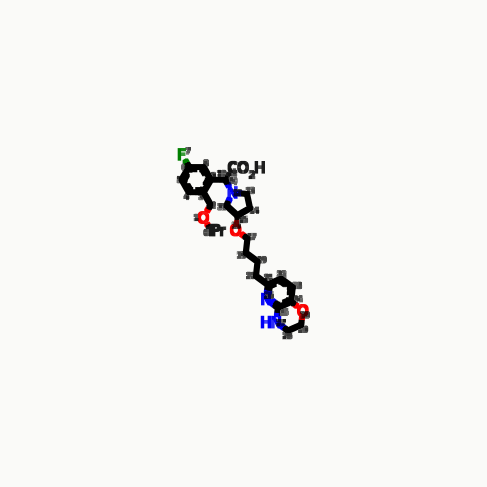 CC(C)OCc1ccc(F)cc1[C@@H](C(=O)O)N1CC[C@@H](OCCCCc2ccc3c(n2)NCCO3)C1